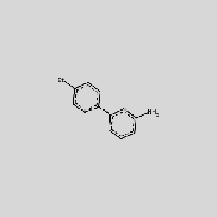 CCc1ccc(-c2cccc(N)n2)cc1